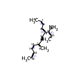 C=C(C#CC(=C/C=C\C)/C(N)=C\C)/C=C\C=C/C